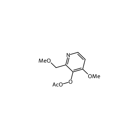 COCc1nccc(OC)c1OOC(C)=O